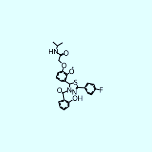 COc1c(OCC(=O)NC(C)C)cccc1C1SC(c2ccc(F)cc2)=NN1C(=O)c1ccccc1O